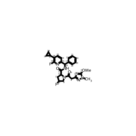 COc1nc(CC(=O)N2CC(F)CC2C(=O)NC(c2ccccc2)c2ccc(C3CC3)c(F)n2)nn1C